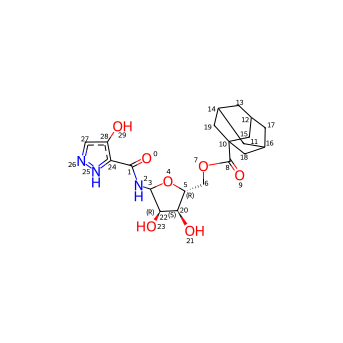 O=C(NC1O[C@H](COC(=O)C23CC4CC(CC(C4)C2)C3)[C@@H](O)[C@H]1O)c1[nH]ncc1O